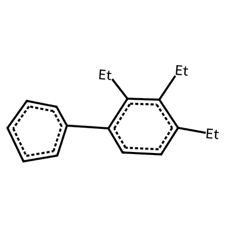 CCc1ccc(-c2ccccc2)c(CC)c1CC